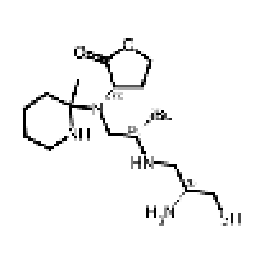 CCC(C)[C@@H](CN([C@H]1CCOC1=O)C1(C)CCCCN1)NC[C@@H](N)CS